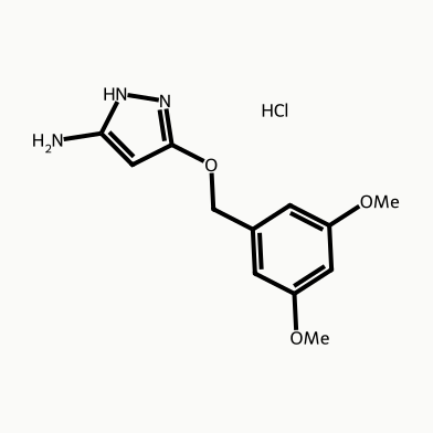 COc1cc(COc2cc(N)[nH]n2)cc(OC)c1.Cl